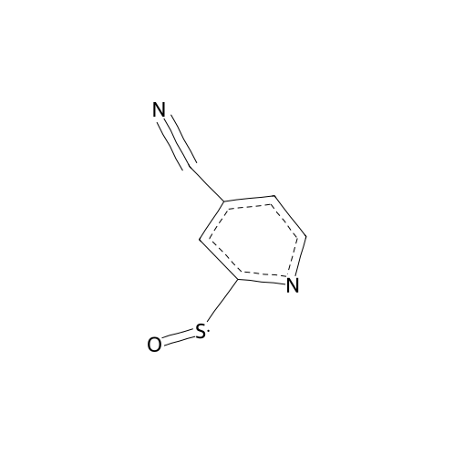 N#Cc1ccnc([S]=O)c1